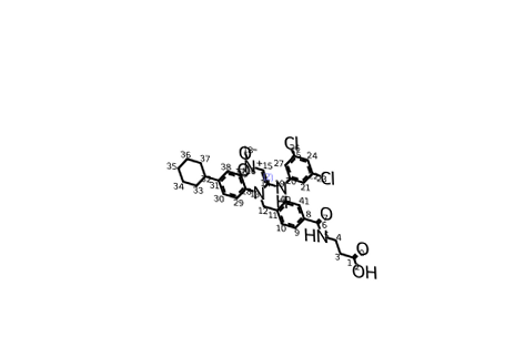 O=C(O)CCNC(=O)c1ccc(CN(/C(=C\[N+](=O)[O-])Nc2cc(Cl)cc(Cl)c2)c2ccc(C3CCCCC3)cc2)cc1